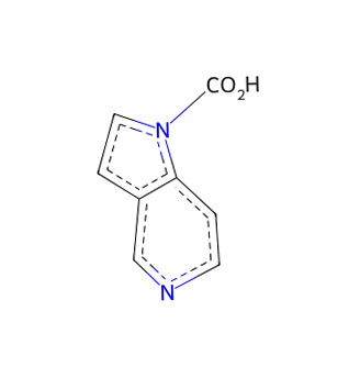 O=C(O)n1ccc2cnccc21